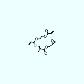 C=C(C)C(=O)OCC1CO1.C=CC(=O)OCCOC(=O)C=C